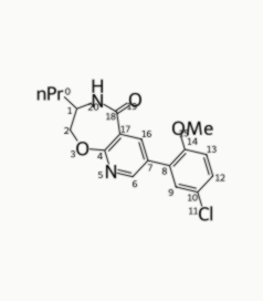 CCCC1COc2ncc(-c3cc(Cl)ccc3OC)cc2C(=O)N1